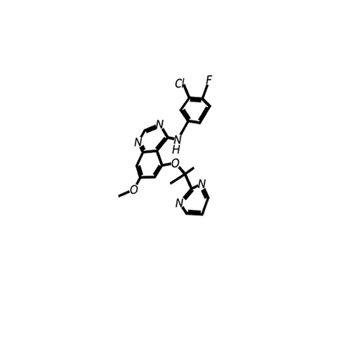 COc1cc(OC(C)(C)c2ncccn2)c2c(Nc3ccc(F)c(Cl)c3)ncnc2c1